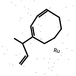 C=CC(C)/C1=C/C=C\CCCC1.[Ru]